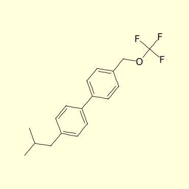 CC(C)Cc1ccc(-c2ccc(COC(F)(F)F)cc2)cc1